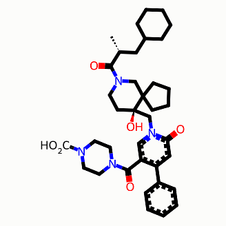 C[C@H](CC1CCCCC1)C(=O)N1CC[C@@](O)(Cn2cc(C(=O)N3CCN(C(=O)O)CC3)c(-c3ccccc3)cc2=O)C2(CCCC2)C1